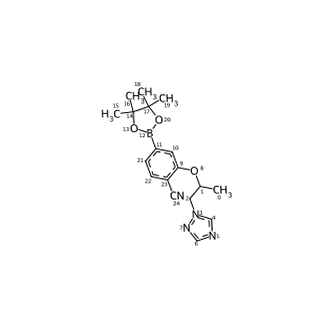 CC(Cn1cncn1)Oc1cc(B2OC(C)(C)C(C)(C)O2)ccc1C#N